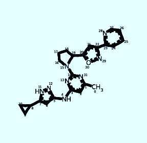 Cc1cc(Nc2cc(C3CC3)[nH]n2)nc(N2CCCC2c2cc(-c3ccccn3)no2)n1